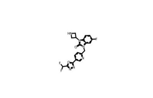 O=c1n(Cc2ccc(-c3nnc(C(F)F)o3)cn2)c2cc(F)ccc2n1C1CNC1